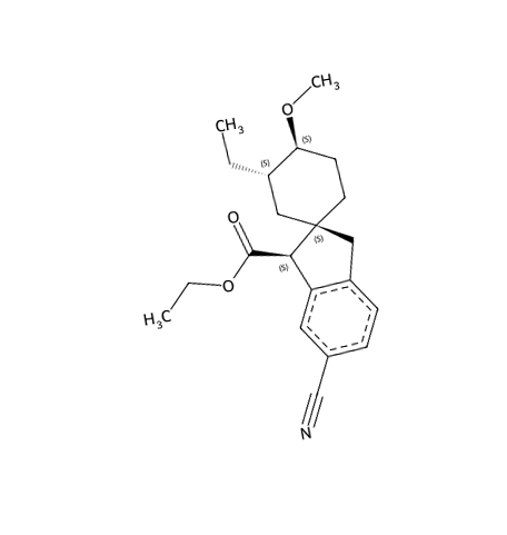 CCOC(=O)[C@@H]1c2cc(C#N)ccc2C[C@@]12CC[C@H](OC)[C@@H](CC)C2